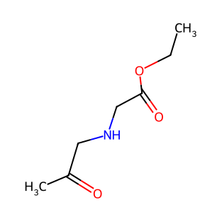 CCOC(=O)CNCC(C)=O